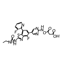 CCNC(=O)Nc1nc2c(F)c(-c3cnc(NOC(=O)CC(=O)O)nc3)cc(-c3ncccc3F)c2s1